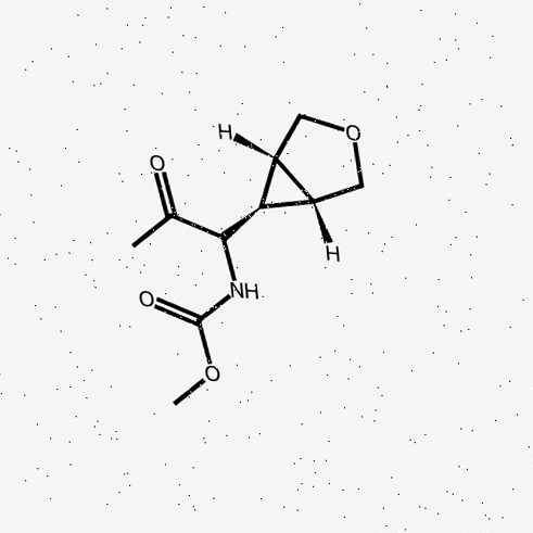 COC(=O)NC(C(C)=O)[C@H]1[C@@H]2COC[C@@H]21